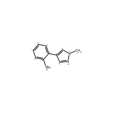 Cn1cc(-c2ccccc2C(C)(C)C)cn1